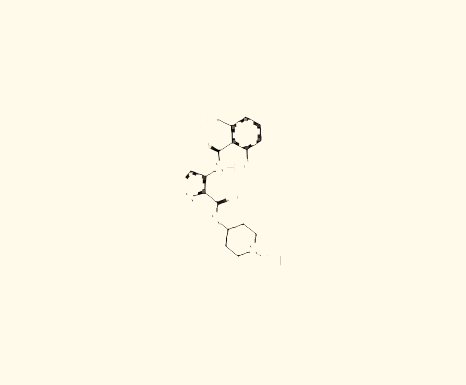 CN1CCC(NC(=O)c2nscc2NC(=O)c2c(Cl)cccc2Cl)CC1